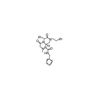 CC(C)CCN1C[C@H]2N(C(=O)CN(C)N2C(=O)NCc2ccccc2)[C@@H](C(C)C)C1=O